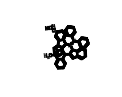 Cc1ccc(C2=Cc3ccccc3[CH]2[Zr]([CH]2c3ccccc3-c3ccccc32)=[Si](c2ccccc2)c2ccccc2)c2ccccc12.Cl.Cl